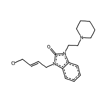 O=c1n(C/C=C/CCl)c2ccccc2n1CCN1CCCCC1